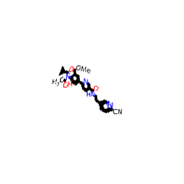 COC(=O)c1cc(-c2ccc(C(=O)NCCc3ccc(C#N)nc3)cn2)ccc1N(CC1CC1)C(C)O